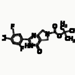 CC(C)(C)OC(=O)N1Cc2nc(-c3cc(F)c(Cl)cc3F)[nH]c(=O)c2C1